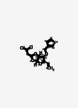 C=C[C@H]1O[C@@H]2OC(CC(Cl)Cl)O[C@@H]2[C@H]1OCc1ccsc1